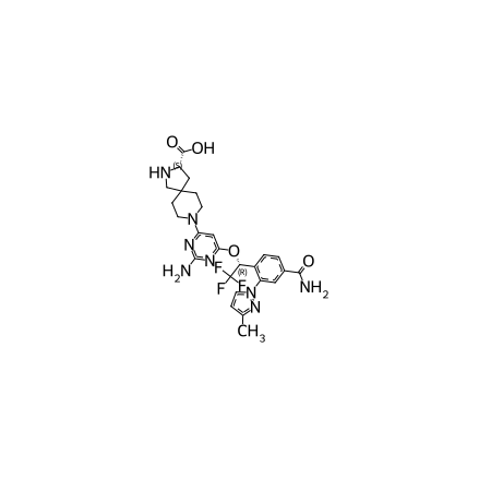 Cc1ccn(-c2cc(C(N)=O)ccc2[C@@H](Oc2cc(N3CCC4(CC3)CN[C@H](C(=O)O)C4)nc(N)n2)C(F)(F)F)n1